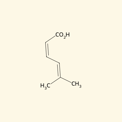 CC(C)=C/C=C\C(=O)O